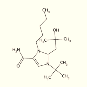 CCCCCN1C(C(N)=O)=CN(C(C)(C)C)C1CC(C)(C)O